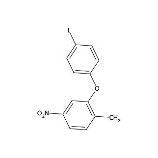 Cc1ccc([N+](=O)[O-])cc1Oc1ccc(I)cc1